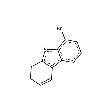 Brc1cccc2c3c(sc12)CCC=C3